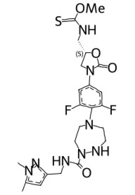 COC(=S)NC[C@H]1CN(c2cc(F)c(N3CCNN(C(=O)NCc4cc(C)n(C)n4)CC3)c(F)c2)C(=O)O1